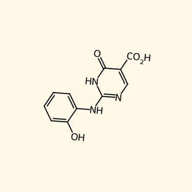 O=C(O)c1cnc(Nc2ccccc2O)[nH]c1=O